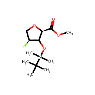 COC(=O)[C@@H]1OC[C@H](F)C1O[Si](C)(C)C(C)(C)C